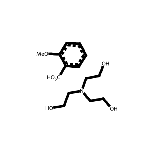 COc1ccccc1C(=O)O.OCCN(CCO)CCO